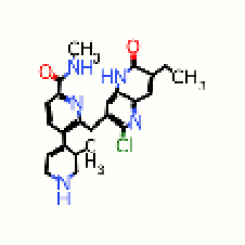 CCc1cc2nc(Cl)c(Cc3nc(C(=O)NC)ccc3C3=CCNCC3C)cc2[nH]c1=O